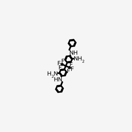 Nc1cc(C(c2ccc(NCc3ccccc3)c(N)c2)(C(F)(F)F)C(F)(F)F)ccc1NCc1ccccc1